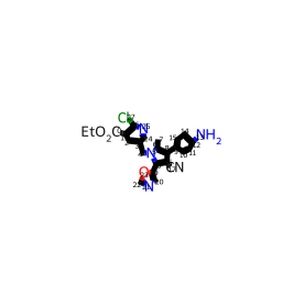 CCOC(=O)c1cc(Cn2c(C)c(-c3ccc(N)cc3)c(C#N)c2-c2cnco2)cnc1Cl